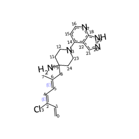 C=C/C(Cl)=C\C=C(/C)CC1(N)CCN(c2ccnc3[nH]ncc23)CC1